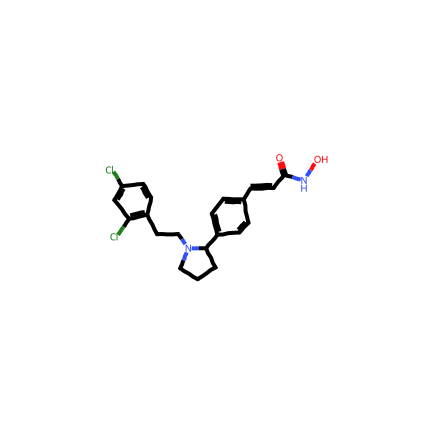 O=C(C=Cc1ccc(C2CCCN2CCc2ccc(Cl)cc2Cl)cc1)NO